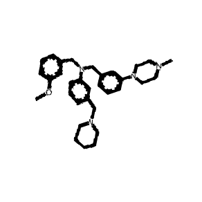 COc1cccc(CN(Cc2cccc(N3CCN(C)CC3)c2)c2cccc(CN3CCCCC3)c2)c1